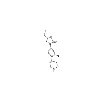 O=C1OC(CF)CN1c1ccc(C2=CCNCC2)c(F)c1